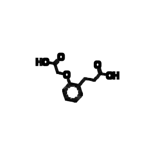 O=C(O)CCc1ccccc1OCC(=O)O